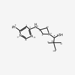 CC(C)c1cc(NC2CN(C(S)C(C)(C)F)C2)ncn1